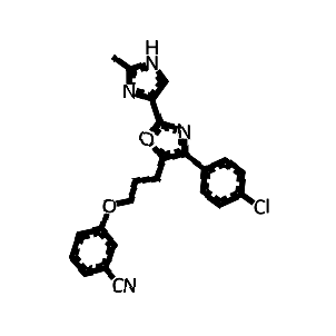 Cc1nc(-c2nc(-c3ccc(Cl)cc3)c(CCCOc3cccc(C#N)c3)o2)c[nH]1